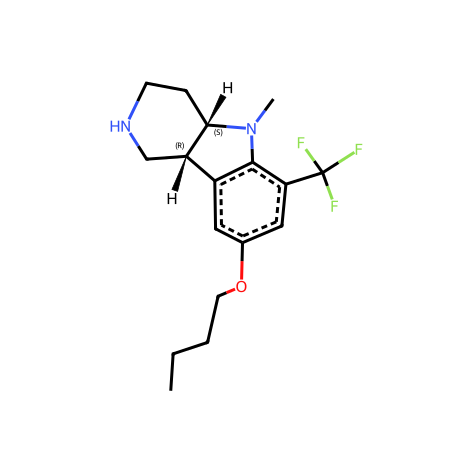 CCCCOc1cc2c(c(C(F)(F)F)c1)N(C)[C@H]1CCNC[C@@H]21